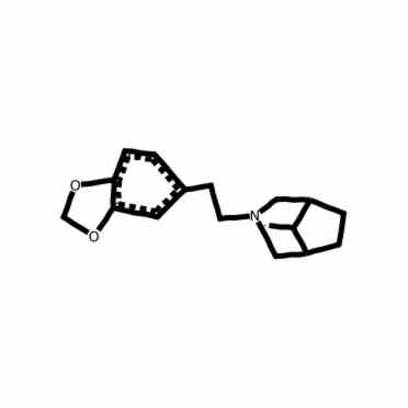 [CH2]C1C2CCC1CN(CCc1ccc3c(c1)OCO3)C2